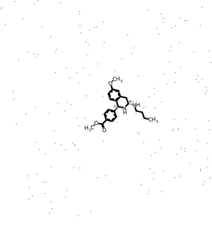 CCCCN[C@H]1Cc2cc(OC)ccc2[C@H](c2ccc(C(=O)OC)cc2)N1